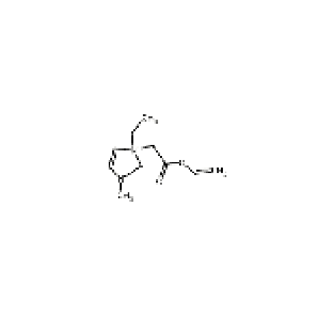 C=COC(=O)C[N+]1(CC)C=CN(C)C1